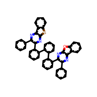 c1ccc(-c2nc3c(nc2-c2ccccc2-c2ccccc2-c2ccccc2-c2nc4sc5ccccc5c4nc2-c2ccccc2)oc2ccccc23)cc1